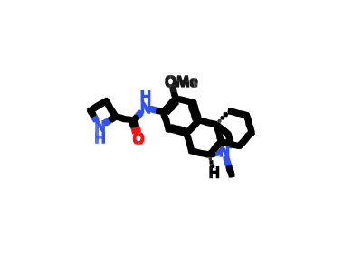 COc1cc2c(cc1NC(=O)C1CCN1)C[C@H]1C3CCCC[C@@]23CCN1C